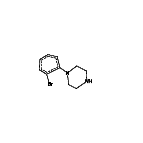 Brc1ccccc1N1CCNCC1